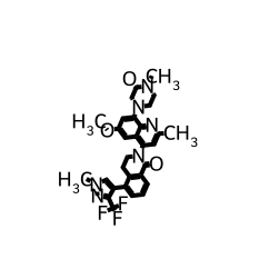 COc1cc(N2CCN(C)C(=O)C2)c2nc(C)cc(N3CCc4c(cccc4-c4cn(C)nc4C(F)(F)F)C3=O)c2c1